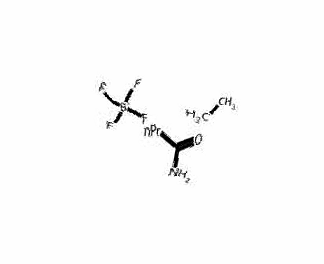 CC.CCCC(N)=O.F[B-](F)(F)F